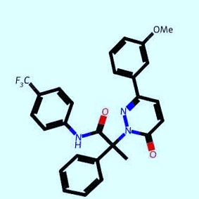 COc1cccc(-c2ccc(=O)n(C(C)(C(=O)Nc3ccc(C(F)(F)F)cc3)c3ccccc3)n2)c1